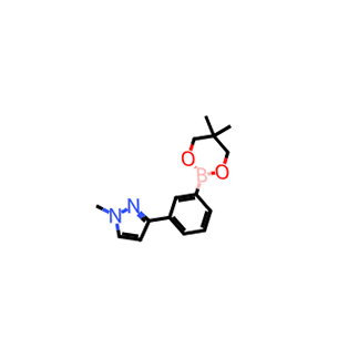 Cn1ccc(-c2cccc(B3OCC(C)(C)CO3)c2)n1